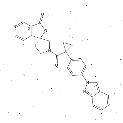 O=C1O[C@]2(CCN(C(=O)C3(c4ccc(-n5cc6ccccc6n5)cc4)CC3)C2)c2ccncc21